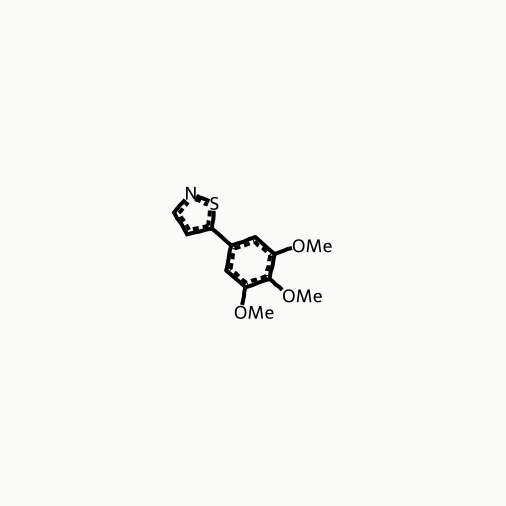 COc1cc(-c2ccns2)cc(OC)c1OC